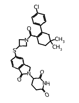 CC1(C)CCC(C(=O)N2CC(Sc3ccc4c(c3)CN(C3CCC(=O)NC3=O)C4=O)C2)=C(c2ccc(Cl)cc2)C1